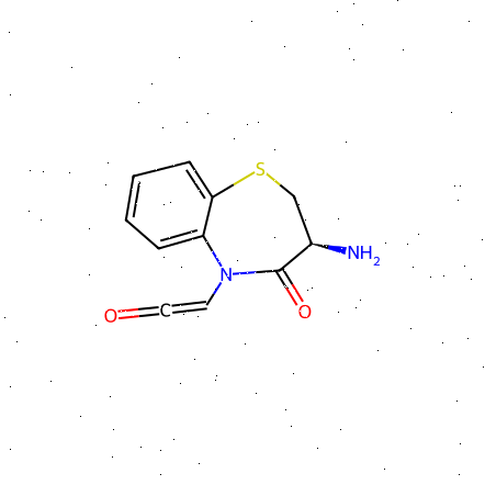 N[C@@H]1CSc2ccccc2N(C=C=O)C1=O